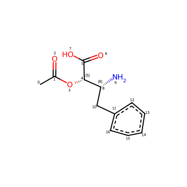 CC(=O)O[C@H](C(=O)O)[C@H](N)Cc1ccccc1